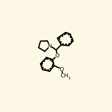 COc1ccccc1OC(c1ccccc1)N1CCCC1